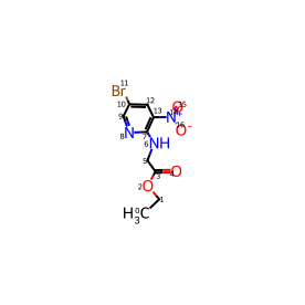 CCOC(=O)CNc1ncc(Br)cc1[N+](=O)[O-]